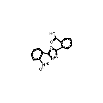 O=C(O)c1ccccc1-c1nnc(-c2ccccc2[N+](=O)[O-])o1